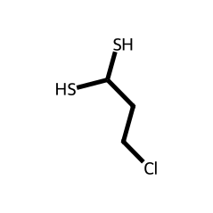 SC(S)CCCl